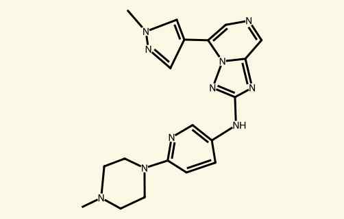 CN1CCN(c2ccc(Nc3nc4cncc(-c5cnn(C)c5)n4n3)cn2)CC1